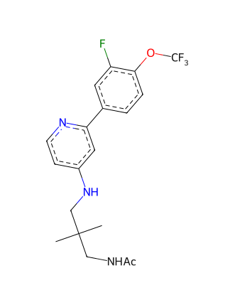 CC(=O)NCC(C)(C)CNc1ccnc(-c2ccc(OC(F)(F)F)c(F)c2)c1